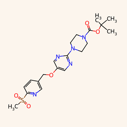 CC(C)(C)OC(=O)N1CCN(c2ncc(OCc3ccc(S(C)(=O)=O)nc3)cn2)CC1